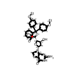 CCOc1ccc(C(OC(C(=O)C(C)C)[C@H]2O[C@@H](n3cnc4c(=O)[nH]c(N)nc43)C[C@@H]2O)(c2ccccc2)c2ccc(OCC)cc2)cc1